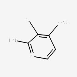 COc1ccnc(N)c1Cl